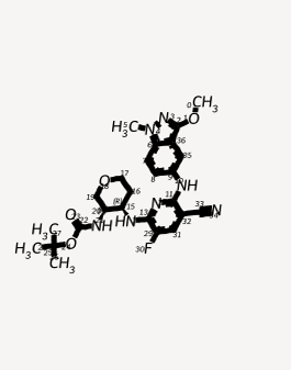 COc1nn(C)c2ccc(Nc3nc(N[C@@H]4CCOC[C@@H]4NC(=O)OC(C)(C)C)c(F)cc3C#N)cc12